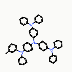 Cc1cccc(N(c2ccccc2)c2ccc(N(c3ccc(N(c4ccccc4)c4ccccc4)cc3)c3ccc(N(c4ccccc4)c4ccccc4)cc3)cc2)c1